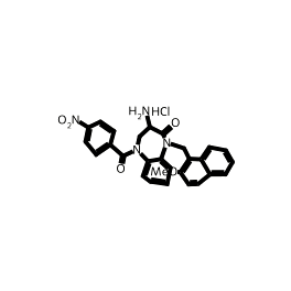 COc1ccc2ccccc2c1CN1C(=O)C(N)CN(C(=O)c2ccc([N+](=O)[O-])cc2)c2ccccc21.Cl